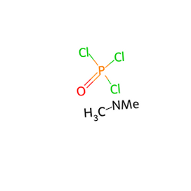 CNC.O=P(Cl)(Cl)Cl